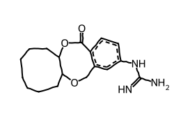 N=C(N)Nc1ccc2c(c1)COC1CCCCCCCC1OC2=O